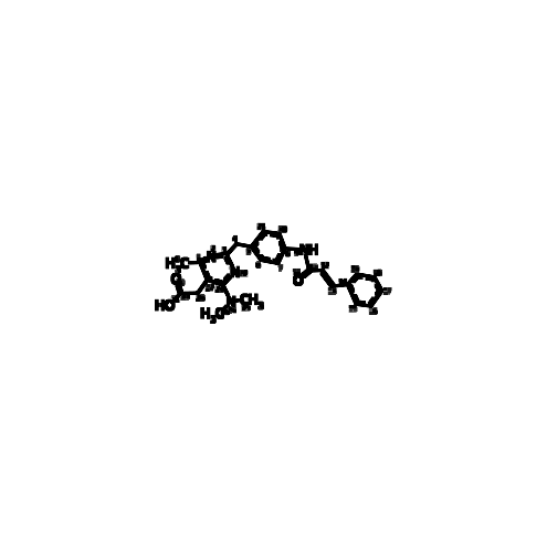 Cc1nc(Cc2ccc(NC(=O)C=Cc3ccccc3)cc2)nc(N(C)C)c1CC(=O)O